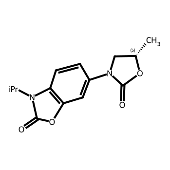 CC(C)n1c(=O)oc2cc(N3C[C@H](C)OC3=O)ccc21